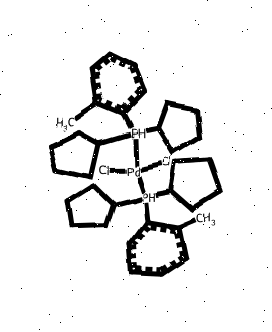 Cc1ccccc1[PH](C1CCCC1)(C1CCCC1)[Pd]([Cl])([Cl])[PH](c1ccccc1C)(C1CCCC1)C1CCCC1